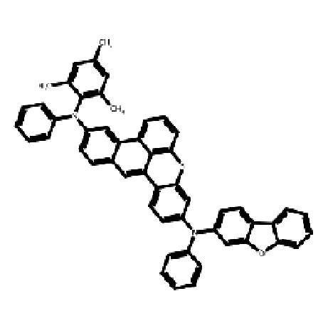 Cc1cc(C)c(N(c2ccccc2)c2ccc3cc4c5c(cccc5c3c2)Sc2cc(N(c3ccccc3)c3ccc5c(c3)oc3ccccc35)ccc2-4)c(C)c1